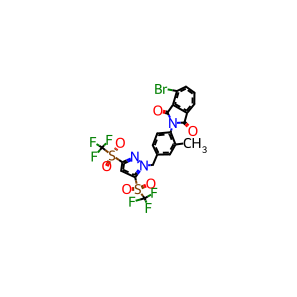 Cc1cc(Cn2nc(S(=O)(=O)C(F)(F)F)cc2S(=O)(=O)C(F)(F)F)ccc1N1C(=O)c2cccc(Br)c2C1=O